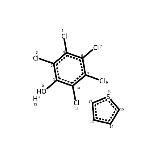 Oc1c(Cl)c(Cl)c(Cl)c(Cl)c1Cl.[H+].c1ccsc1